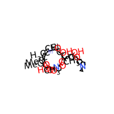 CCC1/C=C(\C)CC(C)CC(OC)C2OC(O)(C(=O)C(=O)N3CCCCC3C(=O)OC(C(C)=CC3CCC(Oc4ccc5c(ccn5C5CC5)c4)C(O)C3)C(C)C(O)CC1=O)C(C)CC2OC